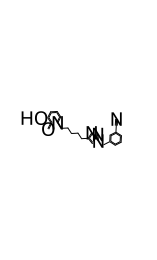 N#Cc1cccc(Cn2cc(CCCCCn3cccc(O)c3=O)nn2)c1